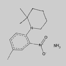 Cc1ccc(N2CCCCC2(C)C)c([N+](=O)[O-])c1.N